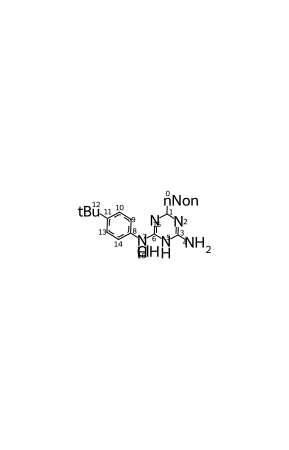 CCCCCCCCCC1N=C(N)NC(Nc2ccc(C(C)(C)C)cc2)=N1.Cl